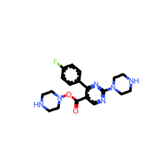 O=C(ON1CCNCC1)c1cnc(N2CCNCC2)nc1-c1ccc(F)cc1